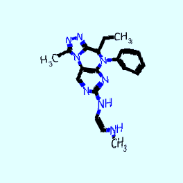 CCC1c2nnc(C)n2-c2cnc(N/C=C\NC)nc2N1c1ccccc1